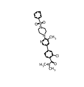 Cc1cc(-c2ccc(C(=O)N(C)C)c(Cl)c2)cnc1N1CCN(S(=O)(=O)c2ccccc2)CC1